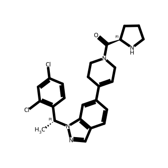 C[C@H](c1ccc(Cl)cc1Cl)n1ncc2ccc(C3=CCN(C(=O)[C@H]4CCCN4)CC3)cc21